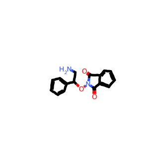 NCC(ON1C(=O)c2ccccc2C1=O)c1ccccc1